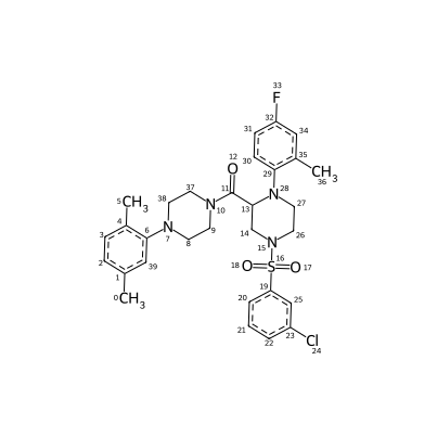 Cc1ccc(C)c(N2CCN(C(=O)C3CN(S(=O)(=O)c4cccc(Cl)c4)CCN3c3ccc(F)cc3C)CC2)c1